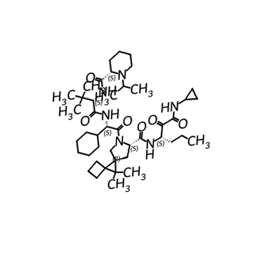 CCC[C@H](NC(=O)[C@@H]1C[C@@]2(CN1C(=O)[C@@H](NC(=O)[C@@H](NC(=O)[C@@H]1CCCCN1C(C)C)C(C)(C)C)C1CCCCC1)C(C)(C)C21CCC1)C(=O)C(=O)NC1CC1